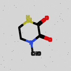 O=CN1CC[SH4]C(=O)C1=O